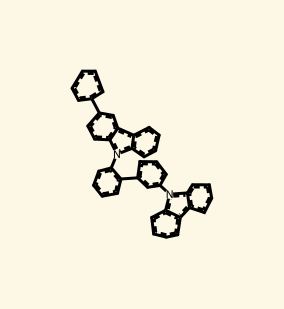 c1ccc(-c2ccc3c(c2)c2ccccc2n3-c2ccccc2-c2cccc(-n3c4ccccc4c4ccccc43)c2)cc1